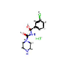 Cl.O=C(NC(=O)N1CCNCC1)c1cccc(Cl)c1